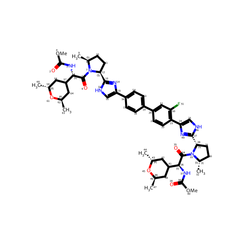 COC(=O)N[C@H](C(=O)N1[C@@H](C)CC[C@H]1c1nc(-c2ccc(-c3ccc(-c4c[nH]c([C@@H]5CC[C@H](C)N5C(=O)[C@@H](NC(=O)OC)C5C[C@@H](C)O[C@H](C)C5)n4)c(F)c3)cc2)c[nH]1)C1C[C@@H](C)O[C@H](C)C1